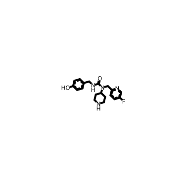 O=C(NCc1ccc(O)cc1)N(Cc1ccc(F)cn1)C1CCNCC1